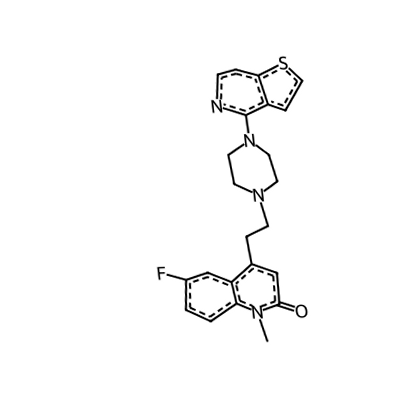 Cn1c(=O)cc(CCN2CCN(c3nccc4sccc34)CC2)c2cc(F)ccc21